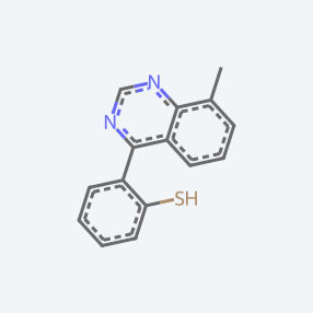 Cc1cccc2c(-c3ccccc3S)ncnc12